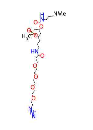 CNCCCNC(=O)OC(CCCCCNC(=O)CCOCCOCCOCCOCCN=[N+]=[N-])CS(C)(=O)=O